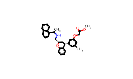 COC(=O)COc1cc(C)cc([C@@H]2C[C@H](CNC(C)c3cccc4ccccc34)Oc3ccccc32)c1